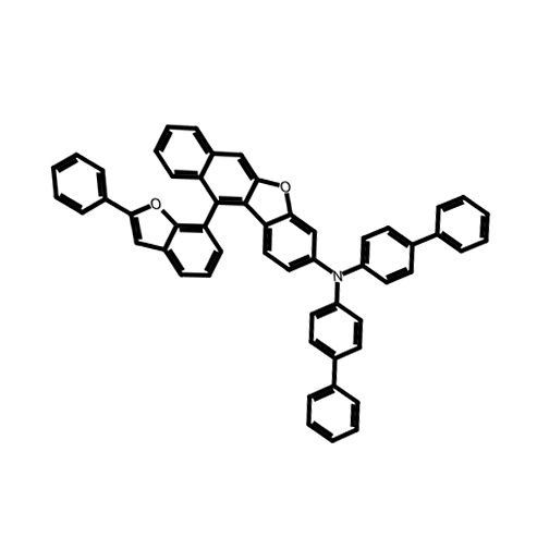 c1ccc(-c2ccc(N(c3ccc(-c4ccccc4)cc3)c3ccc4c(c3)oc3cc5ccccc5c(-c5cccc6cc(-c7ccccc7)oc56)c34)cc2)cc1